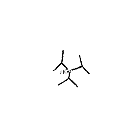 C[CH](C)[GeH]([CH](C)C)[CH](C)C